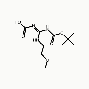 COCCN/C(=N\C(=O)O)NC(=O)OC(C)(C)C